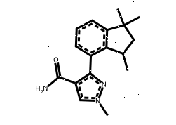 CC1CC(C)(C)c2cccc(-c3nn(C)cc3C(N)=O)c21